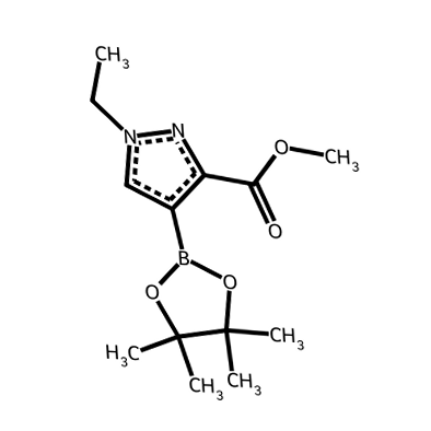 CCn1cc(B2OC(C)(C)C(C)(C)O2)c(C(=O)OC)n1